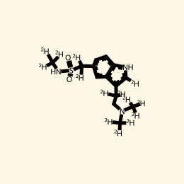 [2H]c1[nH]c2ccc(C([2H])([2H])S(=O)(=O)NC([2H])([2H])[2H])cc2c1C([2H])([2H])CN(C([2H])([2H])[2H])C([2H])([2H])[2H]